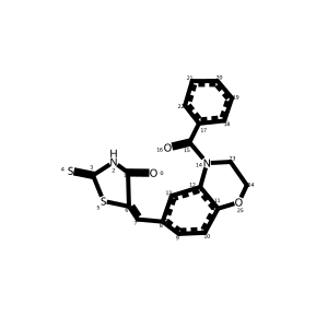 O=C1NC(=S)SC1=Cc1ccc2c(c1)N(C(=O)c1ccccc1)CCO2